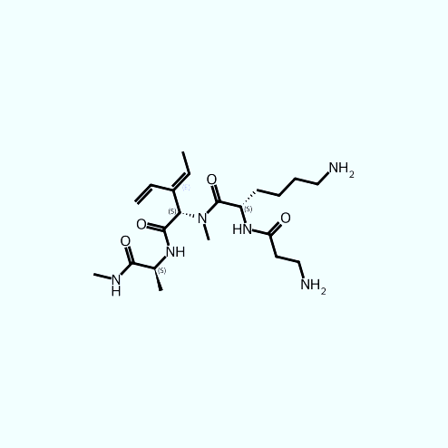 C=C/C(=C\C)[C@@H](C(=O)N[C@@H](C)C(=O)NC)N(C)C(=O)[C@H](CCCCN)NC(=O)CCN